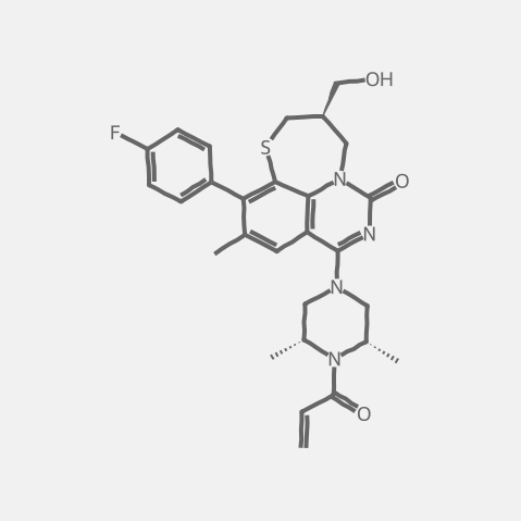 C=CC(=O)N1[C@H](C)CN(c2nc(=O)n3c4c(c(-c5ccc(F)cc5)c(C)cc24)SC[C@@H](CO)C3)C[C@@H]1C